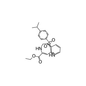 CCOC(=O)C1=CC23C(=CCN1)C=CC=C2NCC3S(=O)(=O)c1ccc(C(C)C)cc1